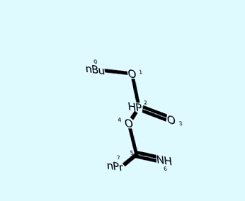 CCCCO[PH](=O)OC(=N)CCC